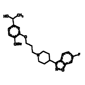 COc1ccc(C(C)O)cc1OCCCN1CCC(c2noc3cc(F)ccc23)CC1